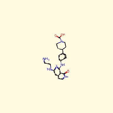 NCCNc1cc2cc[nH]c(=O)c2c(Nc2ccc(C3CCN(C(=O)O)CC3)cc2)n1